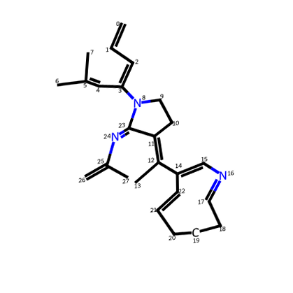 C=C/C=C(\C=C(C)C)N1CCC(=C(C)/C2=C/N=C/CCC\C=C\2)\C1=N/C(=C)C